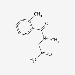 CC(=O)CN(C)C(=O)c1ccccc1C